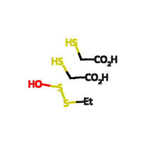 CCSSO.O=C(O)CS.O=C(O)CS